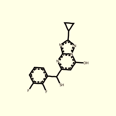 Oc1cc(C(S)c2cccc(F)c2F)nc2nc(C3CC3)nn12